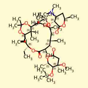 C=C1[C@@H](CC)OC(=O)[C@H](C)[C@@H](OC2C[C@@](C)(OC)[C@@H](O[Si](C)(C)C)[C@H](C)O2)[C@H](C)[C@@H](OC2O[C@H](C)C[C@H](N(C)C)[C@H]2O[Si](C)(C)C)[C@@](C)(O)C[C@@H](C)[C@@H]2OC(C)(C)O[C@@H]1[C@H]2C